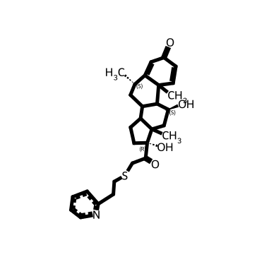 C[C@H]1CC2C([C@@H](O)CC3(C)C2CC[C@]3(O)C(=O)CSCCc2ccccn2)C2(C)C=CC(=O)C=C12